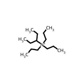 CCC[N+](CCC)(CCC)C(CC)CC